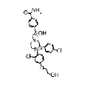 NC(=O)c1ccc([C@H](O)CN2CCN(c3ccc(OCCO)cc3Cl)[C@H](c3ccc(Cl)cc3)C2)cc1